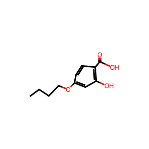 CCCCOc1ccc(C(=O)O)c(O)c1